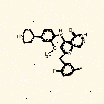 COc1cc(C2CCNCC2)ccc1[AsH]c1cc(Cc2cc(F)ccc2F)nc2cn[nH]c(=O)c12